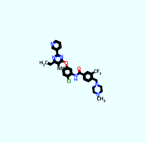 C=Cc1nc(-c2cccnc2)nc(Oc2ccc(Cl)c(NC(=O)c3ccc(CN4CCN(C)CC4)c(C(F)(F)F)c3)c2)c1NC